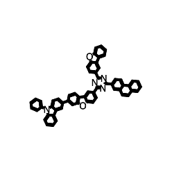 c1ccc(-n2c3ccccc3c3cc(-c4ccc5c(c4)oc4ccc(-c6nc(-c7ccc8c(ccc9ccccc98)c7)nc(-c7ccc8oc9ccccc9c8c7)n6)cc45)ccc32)cc1